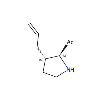 C=CC[C@H]1CCN[C@@H]1C(C)=O